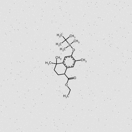 CCOC(=O)C1CCC(C)(C)c2cc(O[Si](C)(C)C(C)(C)C)c(C)cc21